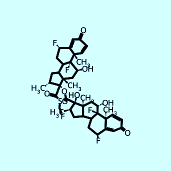 C[C@@H]1CC2C3C[C@H](F)C4=CC(=O)C=C[C@]4(C)[C@@]3(F)[C@@H](O)C[C@]2(C)[C@@]1(O)C(=O)O[C@]1(C(=O)SCF)[C@H](C)CC2C3C[C@H](F)C4=CC(=O)C=C[C@]4(C)[C@@]3(F)[C@@H](O)C[C@@]21C